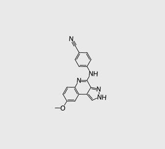 COc1ccc2nc(Nc3ccc(C#N)cc3)c3n[nH]cc3c2c1